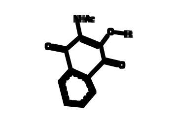 CCOC1=C(NC(C)=O)C(=O)c2ccccc2C1=O